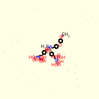 C=POc1ccc(Oc2ccc(C=NN(C)P(=S)(Oc3ccc(CCN(CP(=O)(O)O)CP(=O)(O)O)cc3)Oc3ccc(CCN(CP(=O)(O)O)CP(=O)(O)O)cc3)cc2)cc1